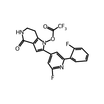 O=C1NCCc2c1cc(-c1cc(F)nc(-c3ccccc3F)c1)n2OC(=O)C(F)(F)F